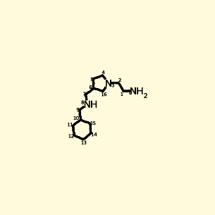 NCCN1CCC(CNCC2CCCCC2)C1